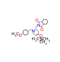 COc1ccc(CN2CC=C(O[Si](C)(C)C)CC2CN2C(=O)c3ccccc3C2=O)cc1